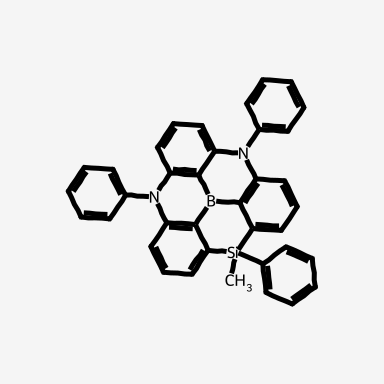 C[Si]1(c2ccccc2)c2cccc3c2B2c4c(cccc4N(c4ccccc4)c4cccc1c42)N3c1ccccc1